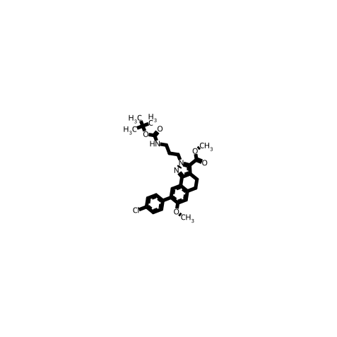 COC(=O)c1c2c(nn1CCCNC(=O)OC(C)(C)C)-c1cc(-c3ccc(Cl)cc3)c(OC)cc1CC2